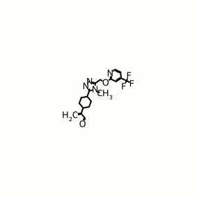 C=C(C=O)C1CCC(c2nnc(COc3cc(C(F)(F)F)ccn3)n2C)CC1